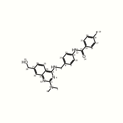 CN(C)c1nc(NCc2ccc(NC(=O)c3ccc(F)cc3)cc2)c2ccc(CO)cc2n1